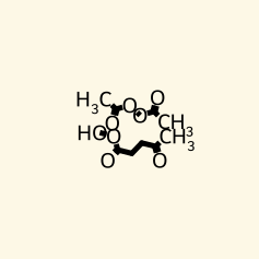 CC(=O)CCC(=O)OO.CC(=O)OOC(C)=O